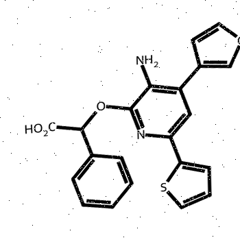 Nc1c(-c2ccoc2)cc(-c2cccs2)nc1OC(C(=O)O)c1ccccc1